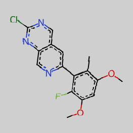 COc1cc(OC)c(F)c(-c2cc3cnc(Cl)nc3cn2)c1C